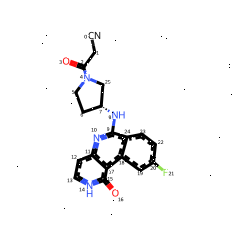 N#CCC(=O)N1CC[C@@H](Nc2nc3cc[nH]c(=O)c3c3cc(F)ccc23)C1